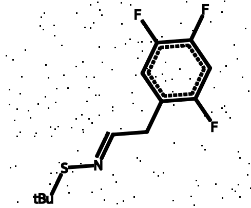 CC(C)(C)SN=CCc1cc(F)c(F)cc1F